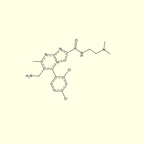 Cc1nc2nc(C(=O)NCCN(C)C)cn2c(-c2ccc(Cl)cc2Cl)c1CN